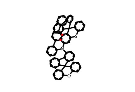 c1ccc(-c2ccc(-c3ccccc3N(c3ccc4c(c3)Sc3ccccc3C43c4ccccc4-c4ccccc43)c3cccc4c3-c3ccccc3C43c4ccccc4Oc4ccccc43)cc2)cc1